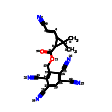 CC1(C)C(C=CC#N)C1C(=O)OCc1c(C#N)c(C#N)cc(C#N)c1C#N